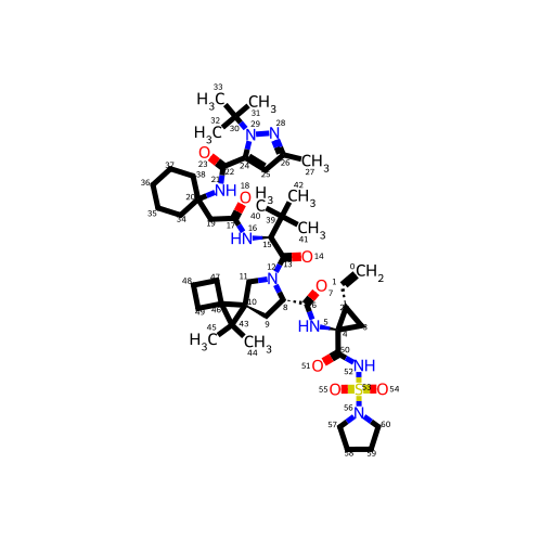 C=C[C@@H]1C[C@]1(NC(=O)[C@@H]1C[C@@]2(CN1C(=O)[C@@H](NC(=O)CC1(NC(=O)c3cc(C)nn3C(C)(C)C)CCCCC1)C(C)(C)C)C(C)(C)C21CCC1)C(=O)NS(=O)(=O)N1CCCC1